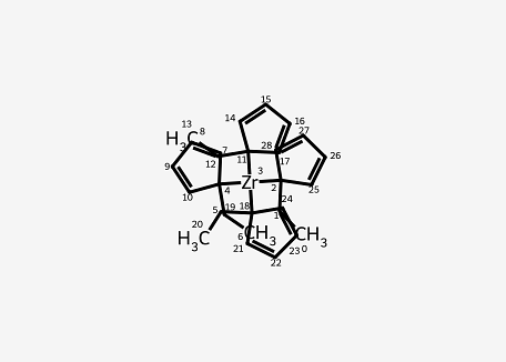 CC[C]1([Zr]([C]2(CC)C=CC=C2)([C]2(CC)C=CC=C2)[C]2(CC)C=CC=C2)C=CC=C1